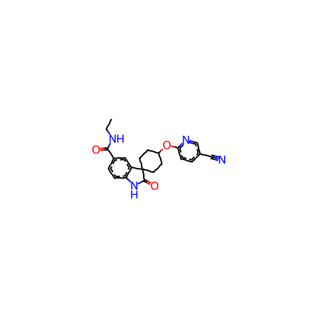 CCNC(=O)c1ccc2c(c1)C1(CCC(Oc3ccc(C#N)cn3)CC1)C(=O)N2